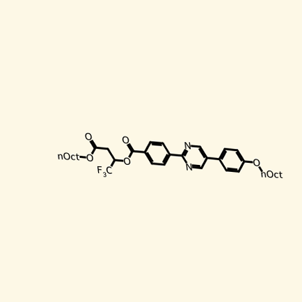 CCCCCCCCOC(=O)CC(OC(=O)c1ccc(-c2ncc(-c3ccc(OCCCCCCCC)cc3)cn2)cc1)C(F)(F)F